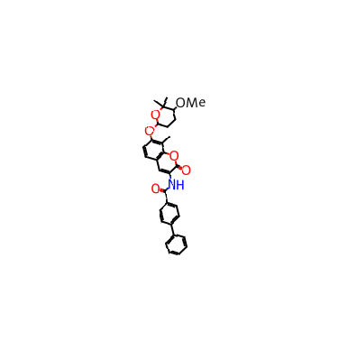 COC1CCC(Oc2ccc3cc(NC(=O)c4ccc(-c5ccccc5)cc4)c(=O)oc3c2C)OC1(C)C